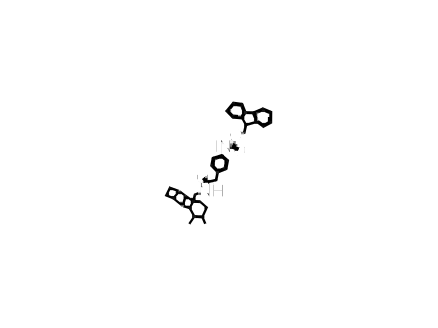 CC1CCC2(CNC(=O)Cc3ccc(NC(=O)OCC4c5ccccc5-c5ccccc54)cc3)C(C1C)C1C3CCC3C12